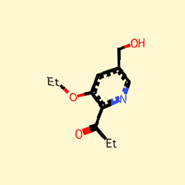 CCOc1cc(CO)cnc1C(=O)CC